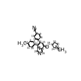 Cc1ccc(-c2c(-c3ccc(C#N)cc3)cc(OC[C@@H]3CCN(C)C3)c3cncn23)cc1